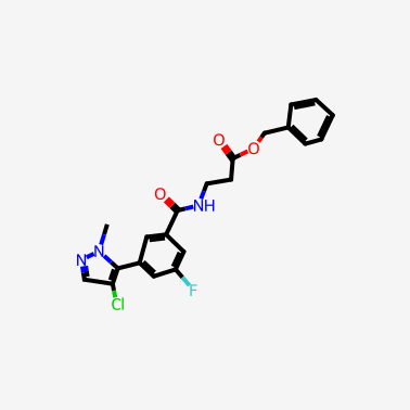 Cn1ncc(Cl)c1-c1cc(F)cc(C(=O)NCCC(=O)OCc2ccccc2)c1